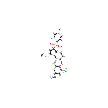 Cc1ccc(S(=O)(=O)n2cc(CC(C)C)c3cc(Oc4c(Cl)cc(N)cc4Cl)ccc32)cc1